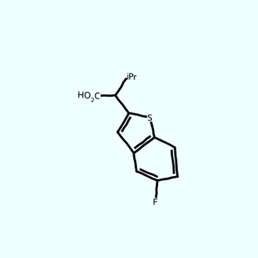 CC(C)C(C(=O)O)c1cc2cc(F)ccc2s1